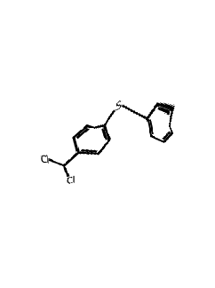 ClC(Cl)c1ccc(Sc2ccccc2)cc1